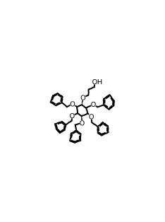 OCCCO[C@H]1C(OCc2ccccc2)C(OCc2ccccc2)[C@@H](OCc2ccccc2)C(OCc2ccccc2)C1OCc1ccccc1